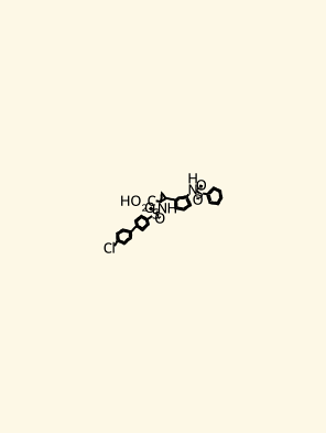 O=C(O)C1(NS(=O)(=O)c2ccc(-c3ccc(Cl)cc3)cc2)CC1c1cccc(NS(=O)(=O)c2ccccc2)c1